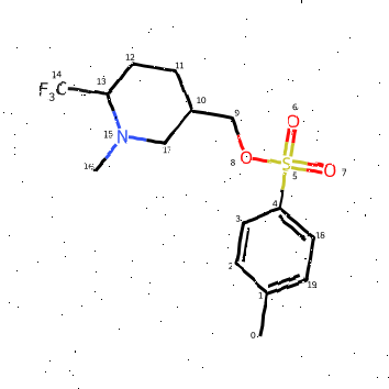 Cc1ccc(S(=O)(=O)OCC2CCC(C(F)(F)F)N(C)C2)cc1